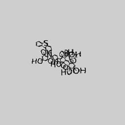 Bc1c(O)c2oc3cc(O)c(O)c4c3c2c2c(c(O)c(-c3ccc(N(c5ccc6sc7ccccc7c6c5)c5c(O)cc(O)cc5O)cc3)c(O)c12)OO4